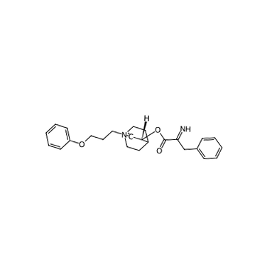 N=C(Cc1ccccc1)C(=O)O[C@H]1C[N+]2(CCCOc3ccccc3)CCC1CC2